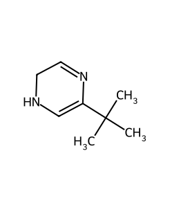 CC(C)(C)C1=CNCC=N1